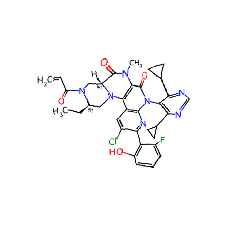 C=CC(=O)N1C[C@@H]2C(=O)N(C)c3c(c4cc(Cl)c(-c5c(O)cccc5F)nc4n(-c4c(C5CC5)ncnc4C4CC4)c3=O)N2C[C@H]1CC